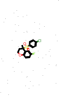 CC1(S(=O)(=O)c2ccc(Cl)cc2)CCOc2ccc(F)cc21